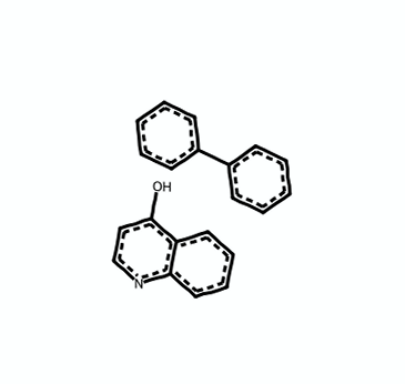 Oc1ccnc2ccccc12.c1ccc(-c2ccccc2)cc1